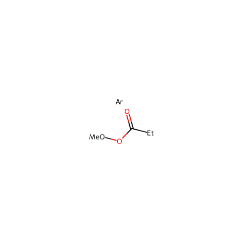 CCC(=O)OOC.[Ar]